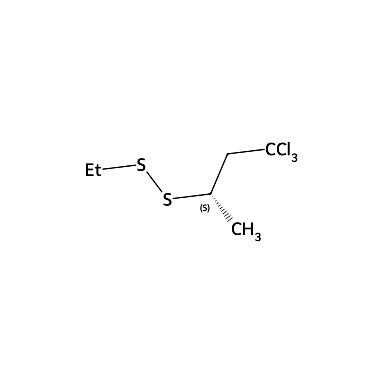 CCSS[C@@H](C)CC(Cl)(Cl)Cl